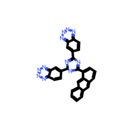 c1ccc2cc3c(-c4nc(-c5ccc6nnnnc6c5)nc(-c5ccc6nnnnc6c5)n4)cccc3cc2c1